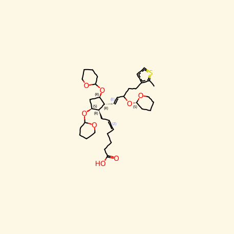 Cc1sccc1CCC(/C=C/[C@@H]1[C@@H](C/C=C\CCCC(=O)O)[C@@H](OC2CCCCO2)C[C@H]1OC1CCCCO1)O[C@H]1CCCCO1